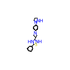 c1ccc(C2NC(C3CN(c4ccc(N5CCCN5)cc4)C3)NS2)cc1